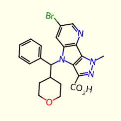 Cn1nc(C(=O)O)c2c1c1ncc(Br)cc1n2C(c1ccccc1)C1CCOCC1